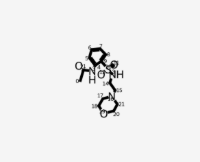 CC(=O)Nc1ccccc1S(=O)(=O)NCCN1CCOCC1